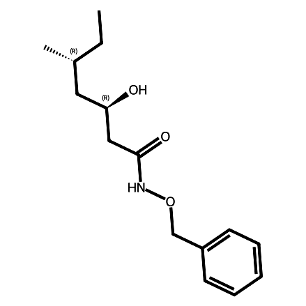 CC[C@@H](C)C[C@@H](O)CC(=O)NOCc1ccccc1